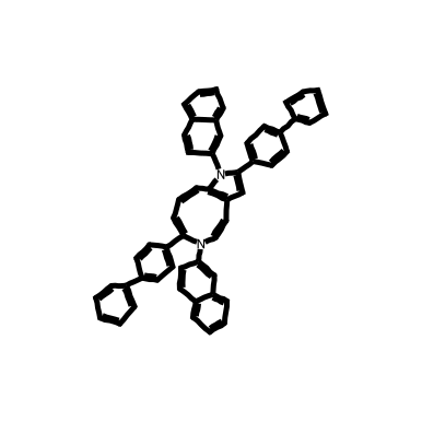 c1ccc(-c2ccc(-c3cccc4c(ccn3-c3ccc5ccccc5c3)cc(-c3ccc(-c5ccccc5)cc3)n4-c3ccc4ccccc4c3)cc2)cc1